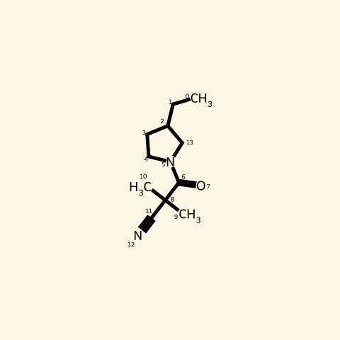 CCC1CCN(C(=O)C(C)(C)C#N)C1